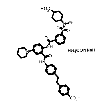 CCN(C1CCC(C(=O)O)CC1)S(=O)(=O)c1cccc(C(=O)Nc2ccc(N3CCCCC3)cc2C(=O)Nc2ccc(CCc3ccc(C(=O)O)cc3)cc2)c1.O.O.O.[NaH].[NaH]